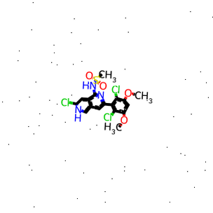 COc1cc(OC)c(Cl)c(-c2cc3c(c(NS(C)(=O)=O)n2)=CC(Cl)NC=3)c1Cl